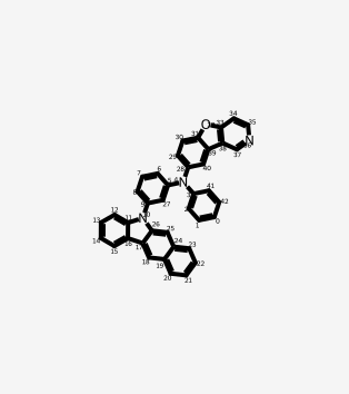 c1ccc(N(c2cccc(-n3c4ccccc4c4cc5ccccc5cc43)c2)c2ccc3oc4ccncc4c3c2)cc1